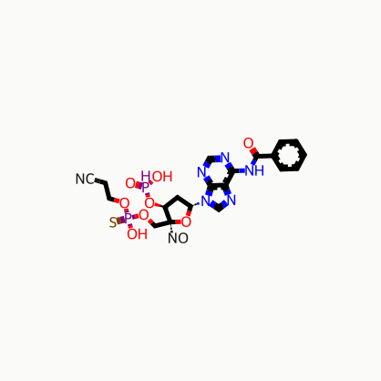 N#CCCOP(O)(=S)OC[C@]1(N=O)O[C@@H](n2cnc3c(NC(=O)c4ccccc4)ncnc32)C[C@@H]1O[PH](=O)O